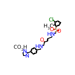 Cc1c(Cl)cccc1S(=O)(=O)CNCC=CC(=O)CNCc1ccc(C2=NCCN2C(=O)O)cc1